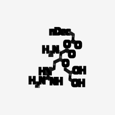 CCCCCCCCCCCC(=O)OC(=O)[C@@H](N)C(CCNC(=N)N)OCC(O)CO